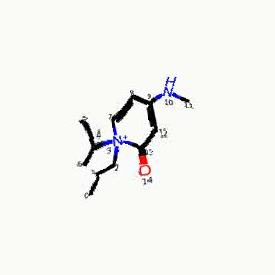 CCC[N+]1(C(C)C)C=CC(NC)=CC1=O